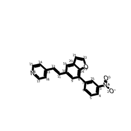 O=[N+]([O-])c1cccc(-c2cc(C=Cc3ccncc3)cc3ccoc23)c1